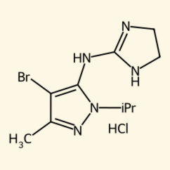 Cc1nn(C(C)C)c(NC2=NCCN2)c1Br.Cl